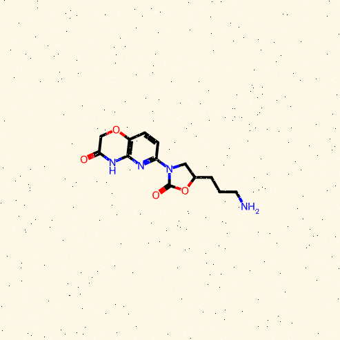 NCCCC1CN(c2ccc3c(n2)NC(=O)CO3)C(=O)O1